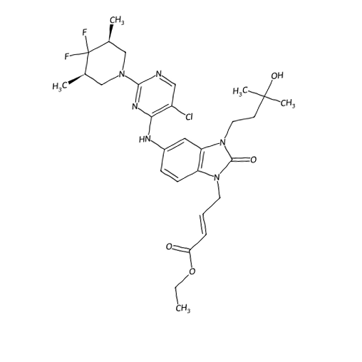 CCOC(=O)/C=C/Cn1c(=O)n(CCC(C)(C)O)c2cc(Nc3nc(N4C[C@@H](C)C(F)(F)[C@@H](C)C4)ncc3Cl)ccc21